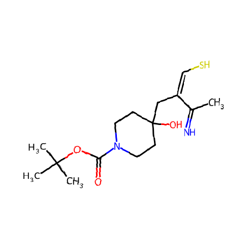 CC(=N)/C(=C\S)CC1(O)CCN(C(=O)OC(C)(C)C)CC1